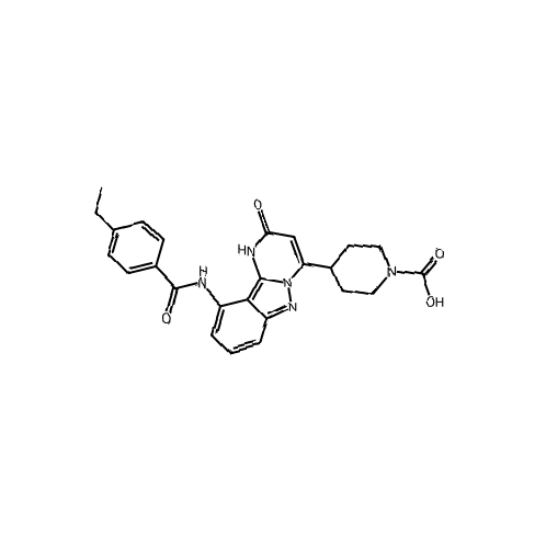 CCc1ccc(C(=O)Nc2cccc3nn4c(C5CCN(C(=O)O)CC5)cc(=O)[nH]c4c23)cc1